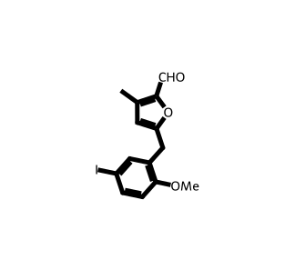 COc1ccc(I)cc1Cc1cc(C)c(C=O)o1